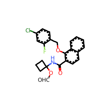 O=COC1(NC(=O)c2ccc3ccccc3c2OCc2ccc(Cl)cc2F)CCC1